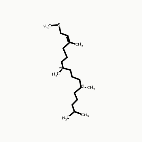 CSCC=C(C)CCC[C@H](C)CCC[C@H](C)CCCC(C)C